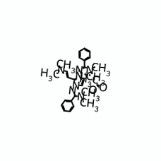 CC(=O)[O-].CN(C)C=Cc1n(N=C(c2ccccc2)N(C)C)cc[n+]1N=C(c1ccccc1)N(C)C